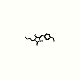 CCCCN1C(=O)N/C(=C\c2ccc(C=O)cc2)C1=O